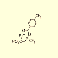 O=C(O)CC(OC(=O)c1ccc(C(F)(F)F)cc1)(C(F)(F)F)C(F)(F)F